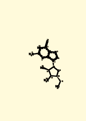 Nc1nc2c(ncn2[C@@H]2O[C@H](CO)C(N)[C@H]2O)c(=O)[nH]1